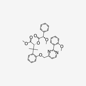 COC(=O)[C@H](OC(=O)[C@H](OC)c1ccccc1)C(C)(C)c1ccccc1OCc1ccnc(-c2ccccc2OC)n1